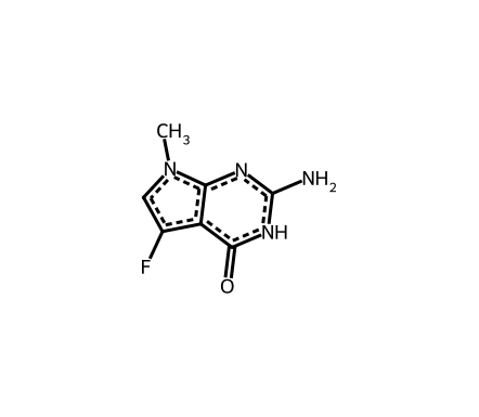 Cn1cc(F)c2c(=O)[nH]c(N)nc21